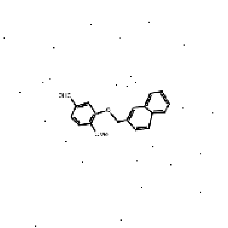 COc1ccc(C=O)cc1OCc1ccc2ccccc2c1